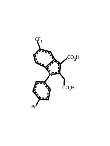 CC(C)c1ccc(-n2c(CC(=O)O)c(C(=O)O)c3cc(C(F)(F)F)ccc32)cc1